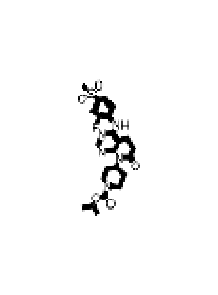 CC(C)OC(=O)N1CCC(N2C(=O)CCc3c(Nc4ccc(S(C)(=O)=O)cc4F)ncnc32)CC1